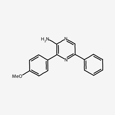 COc1ccc(-c2nc(-c3ccccc3)cnc2N)cc1